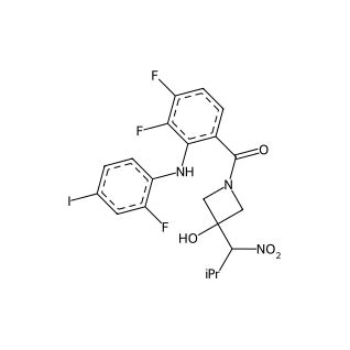 CC(C)C([N+](=O)[O-])C1(O)CN(C(=O)c2ccc(F)c(F)c2Nc2ccc(I)cc2F)C1